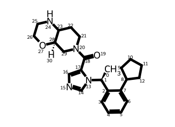 C[C@@H](c1ccccc1C1CCCC1)n1cncc1C(=O)N1CCC2NCCO[C@@H]2C1